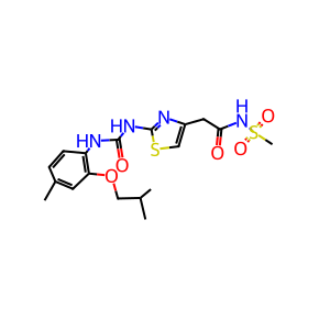 Cc1ccc(NC(=O)Nc2nc(CC(=O)NS(C)(=O)=O)cs2)c(OCC(C)C)c1